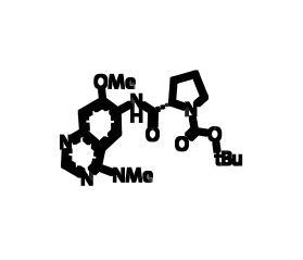 CNc1ncnc2cc(OC)c(NC(=O)[C@@H]3CCCN3C(=O)OC(C)(C)C)cc12